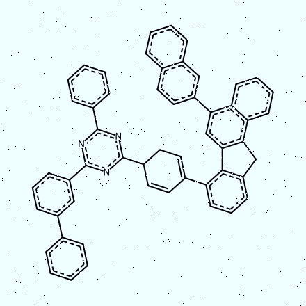 C1=CC(c2nc(-c3ccccc3)nc(-c3cccc(-c4ccccc4)c3)n2)CC=C1c1cccc2c1-c1cc(-c3ccc4ccccc4c3)c3ccccc3c1C2